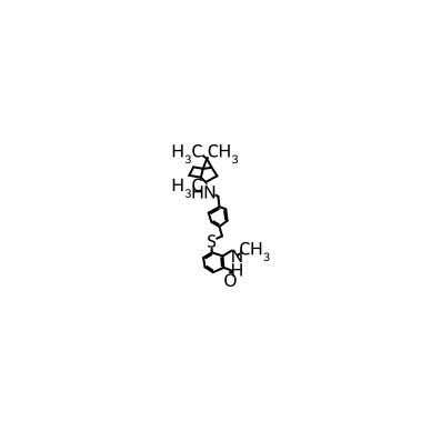 CNCc1c(C=O)cccc1SCc1ccc(CN[C@H]2CC3C(C)(C)C34CCC24C)cc1